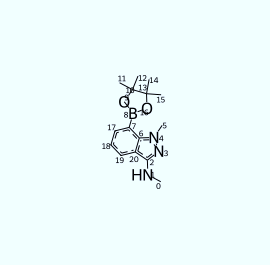 CNc1nn(C)c2c(B3OC(C)(C)C(C)(C)O3)cccc12